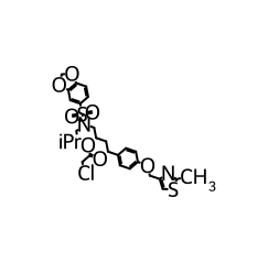 Cc1nc(COc2ccc(CCC(CN(CC(C)C)S(=O)(=O)c3ccc4c(c3)OCO4)OC(=O)CCl)cc2)cs1